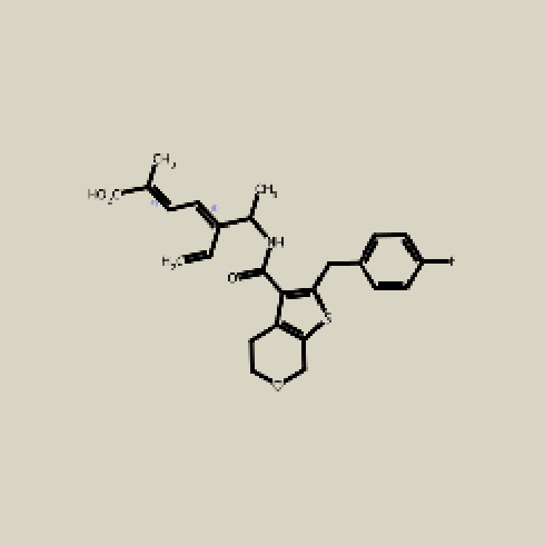 C=C/C(=C\C=C(/C)C(=O)O)C(C)NC(=O)c1c(Cc2ccc(F)cc2)sc2c1CCOC2